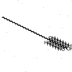 CCCCCCCCCCCCCCCCCCCCCCCCCCCCCCCCCCCC(O)C(O)C(O)C(O)C(O)C(O)C(O)C(O)C(O)C(O)C(O)C(O)C(O)CO